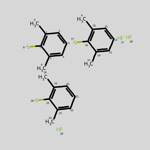 Cc1cccc(C)c1[S].Cc1cccc(C)c1[S].Cc1cccc(C)c1[S].F.F.F